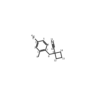 Cc1cc(F)ccc1CC1(C#N)CCC1